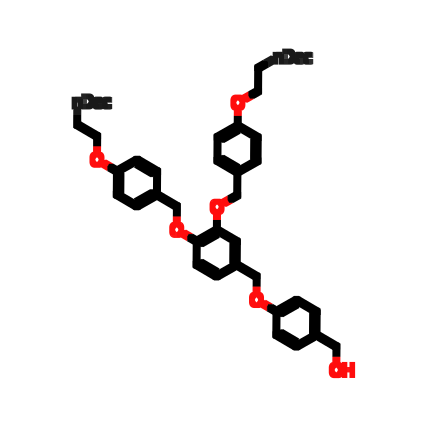 CCCCCCCCCCCCOc1ccc(COc2ccc(COc3ccc(CO)cc3)cc2OCc2ccc(OCCCCCCCCCCCC)cc2)cc1